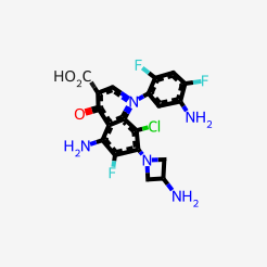 Nc1cc(-n2cc(C(=O)O)c(=O)c3c(N)c(F)c(N4CC(N)C4)c(Cl)c32)c(F)cc1F